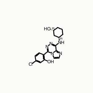 Oc1cc(Cl)ccc1-c1nnc(N[C@@H]2CCC[C@@H](O)C2)c2nccn12